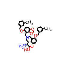 Cc1cccc(COc2ccccc2CN(CC[C@H](N)C(=O)O)Cc2c(OCc3cccc(C)c3)ccc3c2OCO3)c1